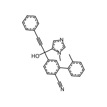 Cc1ccccc1-c1cc(C(O)(C#Cc2ccccc2)c2cncn2C)ccc1C#N